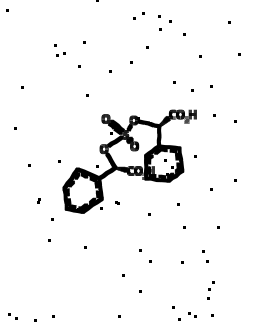 O=C(O)[C@H](OS(=O)(=O)O[C@@H](C(=O)O)c1ccccc1)c1ccccc1